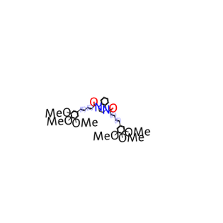 COc1cc(/C=C/C=C/C(=O)N2CCN(C(=O)/C=C/C=C/c3cc(OC)c(OC)c(OC)c3)c3ccccc32)cc(OC)c1OC